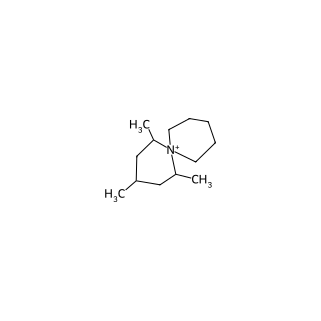 CC1CC(C)[N+]2(CCCCC2)C(C)C1